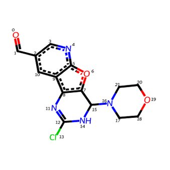 O=Cc1cnc2oc3c(c2c1)N=C(Cl)NC3N1CCOCC1